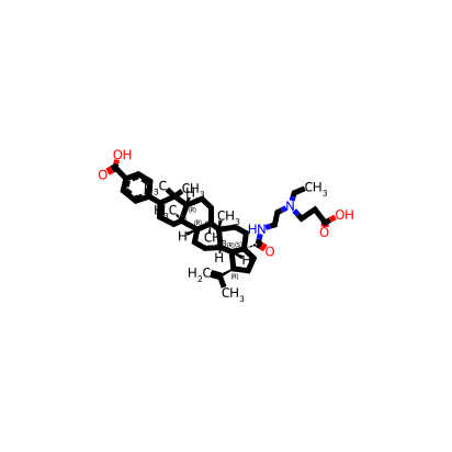 C=C(C)[C@@H]1CC[C@]2(C(=O)NCCN(CC)CCC(=O)O)CC[C@]3(C)[C@H](CC[C@@H]4[C@@]5(C)CC=C(c6ccc(C(=O)O)cc6)C(C)(C)[C@@H]5CC[C@]43C)[C@@H]12